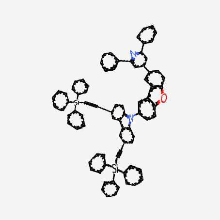 C(#C[Si](c1ccccc1)(c1ccccc1)c1ccccc1)c1ccc2c(c1)c1cc(C#C[Si](c3ccccc3)(c3ccccc3)c3ccccc3)ccc1n2-c1ccc2oc3ccc(-c4cc(-c5ccccc5)nc(-c5ccccc5)c4)cc3c2c1